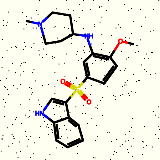 COc1ccc(S(=O)(=O)c2c[nH]c3ccccc23)cc1NC1CCN(C)CC1